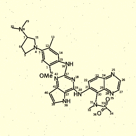 COc1cc(N2CCC(N(C)C)C2)c(C)cc1Nc1nc(Nc2ccc3nccnc3c2N(C)S(C)(=O)=O)c2[nH]ccc2n1